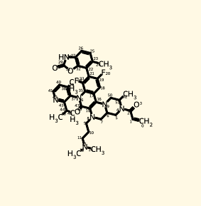 C=CC(=O)N1CC2CN(CCCN(C)C)c3c(c4cc(F)c(-c5c(C)ccc6[nH]c(=O)oc56)c(F)c4n(-c4c(C)ccnc4C(C)C)c3=O)N2CC1C